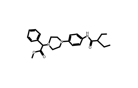 CCC(CC)C(=O)Nc1ccc(N2CCN(C(C(=O)OC)c3ccccc3)CC2)cc1